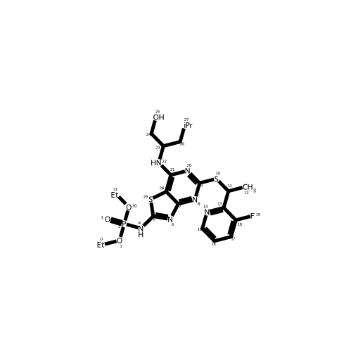 CCOP(=O)(Nc1nc2nc(SC(C)c3ncccc3F)nc(NC(CO)CC(C)C)c2s1)OCC